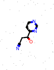 N#CCC(=O)c1ccncn1